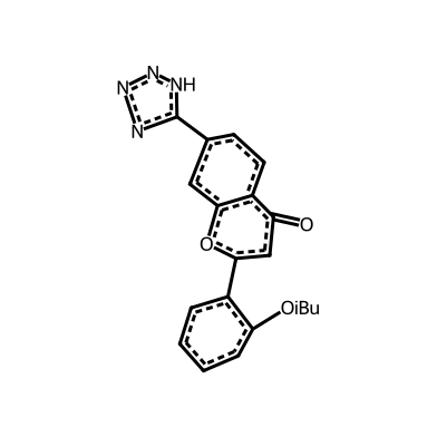 CC(C)COc1ccccc1-c1cc(=O)c2ccc(-c3nnn[nH]3)cc2o1